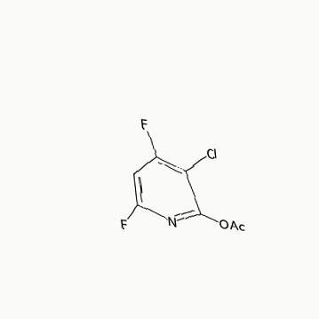 CC(=O)Oc1nc(F)cc(F)c1Cl